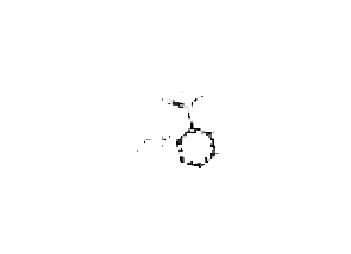 O=[N+]([O-])c1ccccc1.[Al+3].[Cl-].[Cl-].[Cl-]